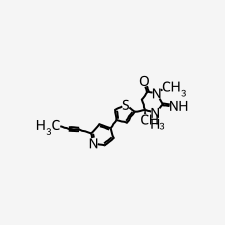 CC#Cc1cc(-c2csc([C@]3(C)CC(=O)N(C)C(=N)N3)c2)ccn1